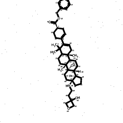 CC1(C)C(C2=CC[C@H](C(=O)OCc3ccccc3)CC2)=CC[C@@]2(C)C1CC[C@]1(C)C2CC[C@@H]2[C@H]3CCC[C@]3(NCCC3(O)COC3)CC[C@]21C